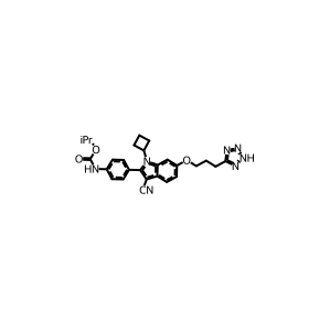 CC(C)OC(=O)Nc1ccc(-c2c(C#N)c3ccc(OCCCc4nn[nH]n4)cc3n2C2CCC2)cc1